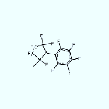 Fc1c(F)c(F)c(P(C(F)(F)C(F)(F)F)C(F)(F)C(F)(F)F)c(F)c1F